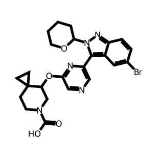 O=C(O)N1CCC2(CC2)C(Oc2cncc(-c3c4cc(Br)ccc4nn3C3CCCCO3)n2)C1